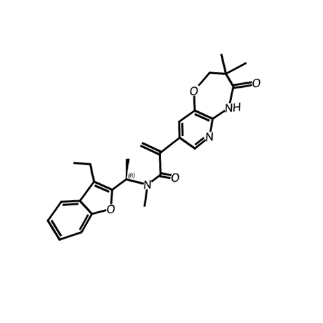 C=C(C(=O)N(C)[C@H](C)c1oc2ccccc2c1CC)c1cnc2c(c1)OCC(C)(C)C(=O)N2